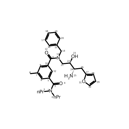 CCCN(CCC)C(=O)c1cc(C)cc(C(=O)N(Cc2ccccc2)C[C@@H](O)[C@@H](N)Cc2ccco2)c1